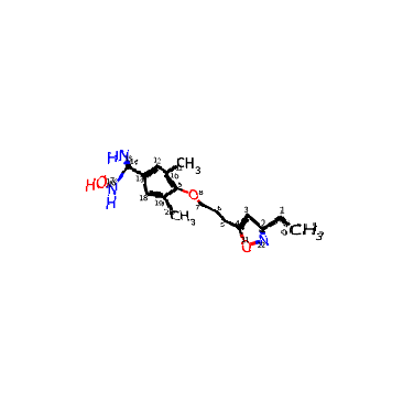 CCc1cc(CCCOc2c(C)cc(C(=N)NO)cc2C)on1